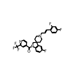 O=C(c1ccnc(C(F)(F)F)c1)N1CC2(CCN(C/C=C/c3ccc(F)cc3F)CC2)c2cc(F)ccc21